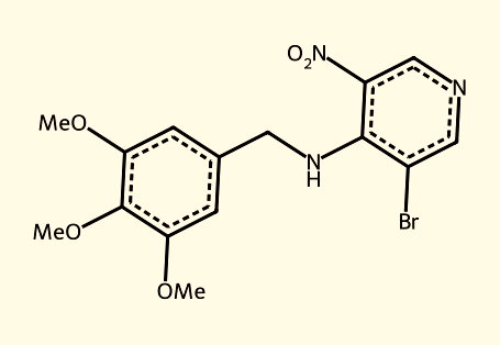 COc1cc(CNc2c(Br)cncc2[N+](=O)[O-])cc(OC)c1OC